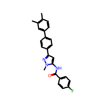 Cc1ccc(-c2ccc(-c3cc(NC(=O)c4ccc(F)cc4)n(C)n3)cc2)cc1C